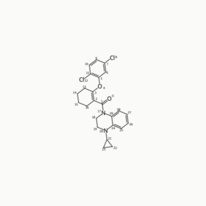 O=C(C1=C(Oc2cc(Cl)ccc2Cl)CCCC1)N1CCN(C2CC2)c2ccccc21